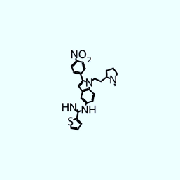 CN1CCCC1CCn1c(-c2ccc([N+](=O)[O-])cc2)cc2cc(NC(=N)c3cccs3)ccc21